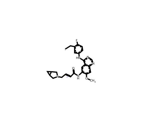 COc1cc2ncnc(Nc3ccc(F)c(CI)c3)c2cc1NC(=O)/C=C/CN1CC2CC2C1